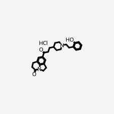 Cl.O=C(CCC1CCN(CCc2ccccc2O)CC1)c1cc2c3c(c1)CCN3C(=O)CC2